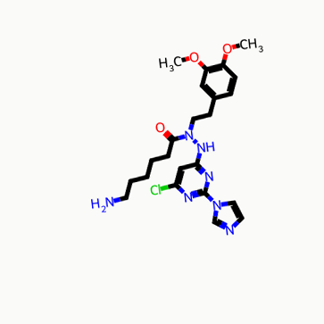 COc1ccc(CCN(Nc2cc(Cl)nc(-n3ccnc3)n2)C(=O)CCCCCN)cc1OC